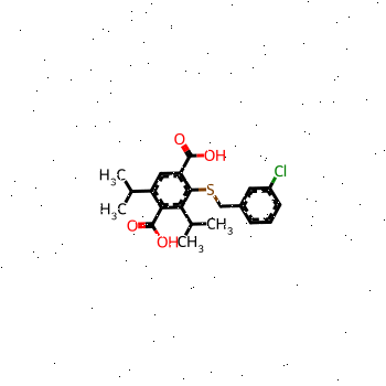 CC(C)c1cc(C(=O)O)c(SCc2cccc(Cl)c2)c(C(C)C)c1C(=O)O